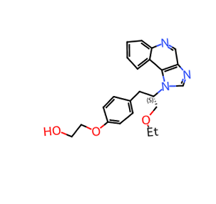 CCOC[C@H](Cc1ccc(OCCO)cc1)n1cnc2cnc3ccccc3c21